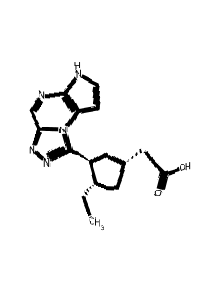 CC[C@H]1C[C@@H](CC(=O)O)C[C@@H]1c1nnc2cnc3[nH]ccc3n12